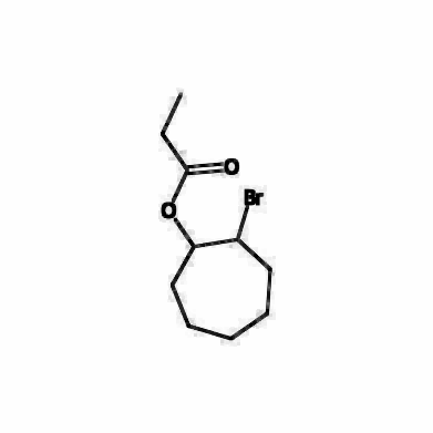 CCC(=O)OC1CCCCCC1Br